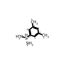 Cc1cc(C)cc([SiH](N)[SiH3])c1